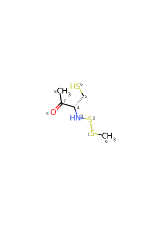 CSSN[C@@H](CS)C(C)=O